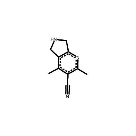 Cc1nc2c(c(C)c1C#N)CNC2